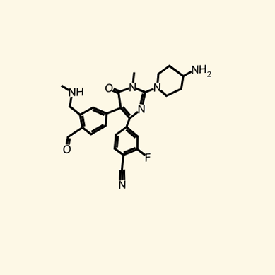 CNCc1cc(-c2c(-c3ccc(C#N)c(F)c3)nc(N3CCC(N)CC3)n(C)c2=O)ccc1C=O